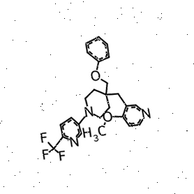 COc1ccncc1CC1(COc2ccccc2)CCN(c2ccc(C(F)(F)F)nc2)CC1